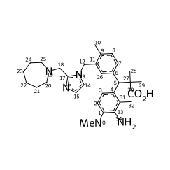 CNc1ccc(C(c2ccc(C)c(Cn3ccnc3CN3CCCCCC3)c2)C(C)(C)C(=O)O)c(C)c1N